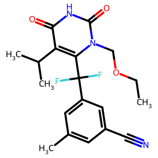 CCOCn1c(C(F)(F)c2cc(C)cc(C#N)c2)c(C(C)C)c(=O)[nH]c1=O